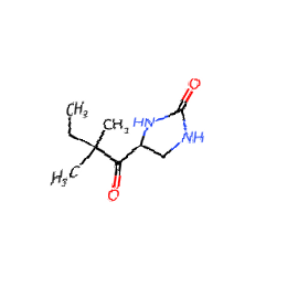 CCC(C)(C)C(=O)C1CNC(=O)N1